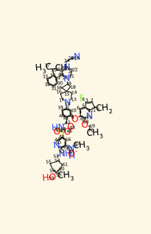 C=C1C=C(F)c2cc(Oc3cc(N4CCC5(CC4)CC(N4CCN(CC#N)C[C@H]4c4ccccc4C(C)C)C5)ccc3C(=O)NS(=O)(=O)c3cnc(NC[C@H]4CC[C@](C)(O)CC4)c([NH+](C)[O-])c3)c(OCC)nc21